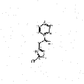 O=C(Cc1csc(Cl)n1)c1ccccc1